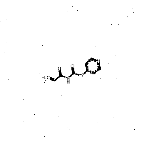 C=CC(=O)NC(=O)Oc1ccncc1